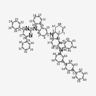 C1=Cc2c(n(-c3ccc4c(c3)c3ccccc3n4-c3nc(-c4ccccc4)cc(-c4ccccc4)n3)c3ccc4c(c5ccccc5n4-c4cccc(-c5ccc(-c6ccccc6)cc5)c4)c23)CC1